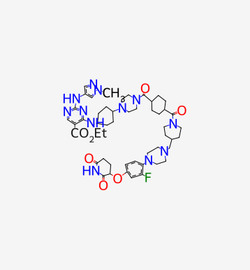 CCOC(=O)c1cnc(Nc2cnn(C)c2)nc1NC1CCC(N2CCN(C(=O)C3CCC(C(=O)N4CCC(CN5CCN(c6ccc(OC7CCC(=O)NC7=O)cc6F)CC5)CC4)CC3)CC2)CC1